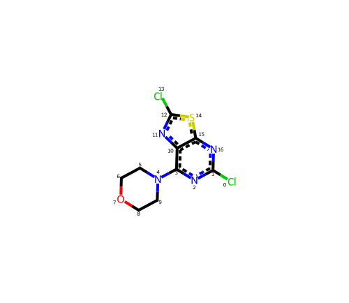 Clc1nc(N2CCOCC2)c2nc(Cl)sc2n1